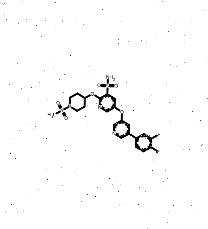 CS(=O)(=O)N1CCC(Oc2ncc(Oc3cncc(-c4ccc(F)c(F)c4)c3)cc2S(N)(=O)=O)CC1